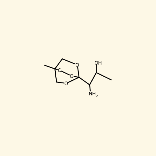 CC(O)C(N)C12OCC(C)(CO1)CO2